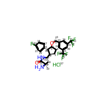 C[C@@H](O[C@H]1CC[C@@H]([C@@H]2C[C@@](C)(N)C(=O)N2)[C@@H]1c1ccc(F)cc1)c1cc(C(F)(F)F)cc(C(F)(F)F)c1.Cl